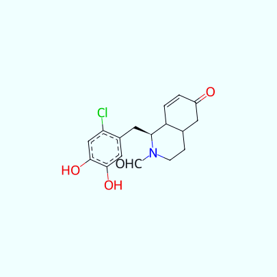 O=CN1CCC2CC(=O)C=CC2[C@@H]1Cc1cc(O)c(O)cc1Cl